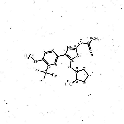 COc1ccc(-c2nc(NC(C)=O)sc2CN2CCC[C@H]2C)cc1C(F)(F)F